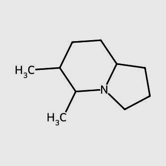 CC1CCC2CCCN2C1C